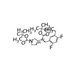 C=Cc1cc(C[C@H](C(=O)OC(C)(C)C)[C@H]2CCN(C(=O)OC(C)(C)C)C2)c(F)cc1F